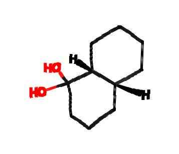 OC1(O)CCC[C@H]2CCCC[C@H]21